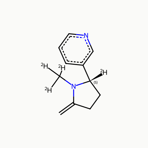 [2H]C([2H])([2H])N1C(=C)CC[C@@]1([2H])c1cccnc1